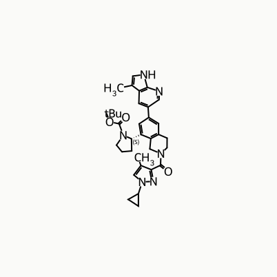 Cc1cn(C2CC2)nc1C(=O)N1CCc2cc(-c3cnc4[nH]cc(C)c4c3)cc([C@@H]3CCCN3C(=O)OC(C)(C)C)c2C1